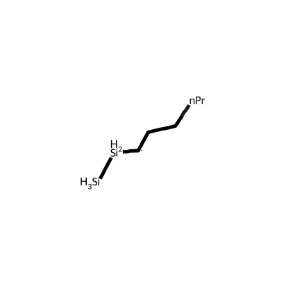 CCCCC[CH][SiH2][SiH3]